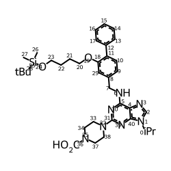 CC(C)n1cnc2c(NCc3ccc(-c4ccccc4)c(OCCCCO[Si](C)(C)C(C)(C)C)c3)nc(N3CCN(C(=O)O)CC3)nc21